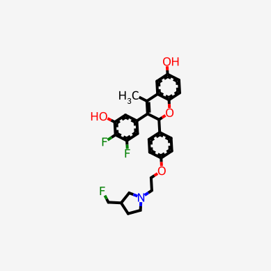 CC1=C(c2cc(O)c(F)c(F)c2)C(c2ccc(OCCN3CCC(CF)C3)cc2)Oc2ccc(O)cc21